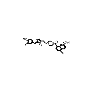 N#Cc1ccc(Cc2ncc(CCN3CCN(C(=O)c4ccc(Br)c5ccc(O)cc45)CC3)[nH]2)cc1F